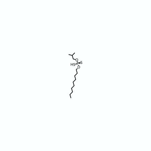 CCCCCCCCCCOP(=S)(S)OCC(C)C